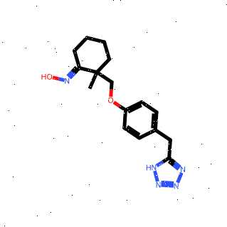 CC1(COc2ccc(Cc3nnn[nH]3)cc2)CCCCC1=NO